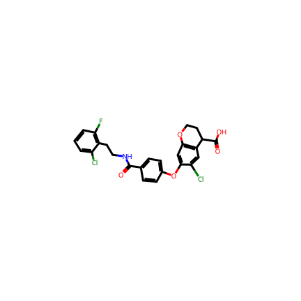 O=C(NCCc1c(F)cccc1Cl)c1ccc(Oc2cc3c(cc2Cl)C(C(=O)O)CCO3)cc1